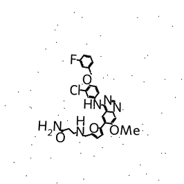 COc1cc2ncnc(Nc3ccc(OCc4cccc(F)c4)c(Cl)c3)c2cc1-c1ccc(CNCCC(N)=O)o1